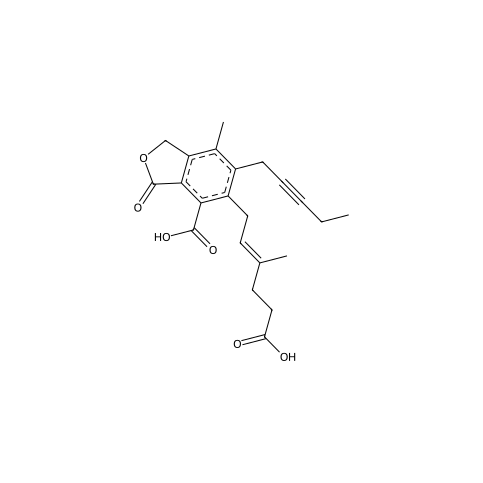 CCC#CCc1c(C)c2c(c(C(=O)O)c1C/C=C(\C)CCC(=O)O)C(=O)OC2